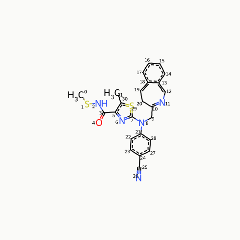 CSNC(=O)c1nc(N(CC2=NC=c3ccccc3=CC2)c2ccc(C#N)cc2)sc1C